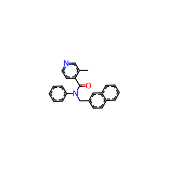 Cc1cnccc1C(=O)N(Cc1ccc2ccccc2c1)c1ccccc1